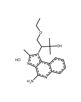 CCOCC(n1c(C)nc2c(N)nc3ccccc3c21)C(C)(C)O.Cl